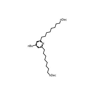 [CH2]CCCc1cc(CCCCCCCCCCCCCCCCCC)nc(CCCCCCCCCCCCCCCCCC)c1